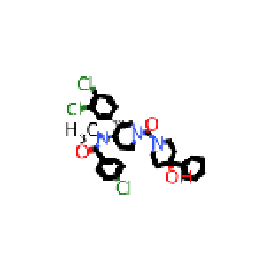 CN(C(=O)c1ccc(Cl)cc1)[C@@H]1CCN(C(=O)N2CCC(O)(c3ccccc3)CC2)C[C@H]1c1ccc(Cl)c(Cl)c1